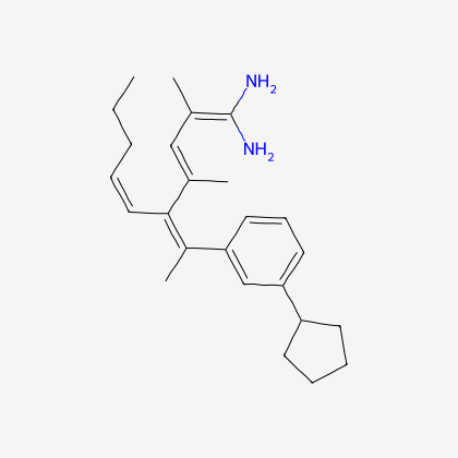 CCC\C=C/C(=C(\C)c1cccc(C2CCCC2)c1)C(/C)=C/C(C)=C(N)N